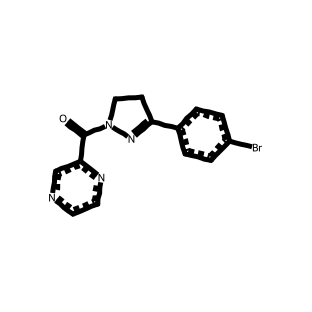 O=C(c1cnccn1)N1CCC(c2ccc(Br)cc2)=N1